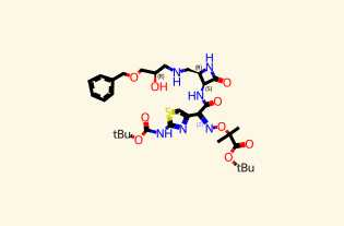 CC(C)(C)OC(=O)Nc1nc(/C(=N/OC(C)(C)C(=O)OC(C)(C)C)C(=O)N[C@@H]2C(=O)N[C@@H]2CNC[C@@H](O)COCc2ccccc2)cs1